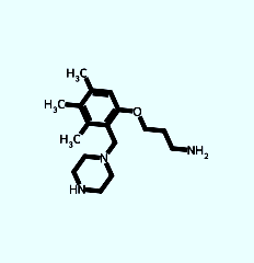 Cc1cc(OCCCN)c(CN2CCNCC2)c(C)c1C